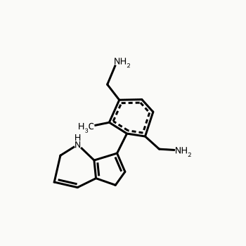 Cc1c(CN)ccc(CN)c1C1=CCC2=C1NCC=C2